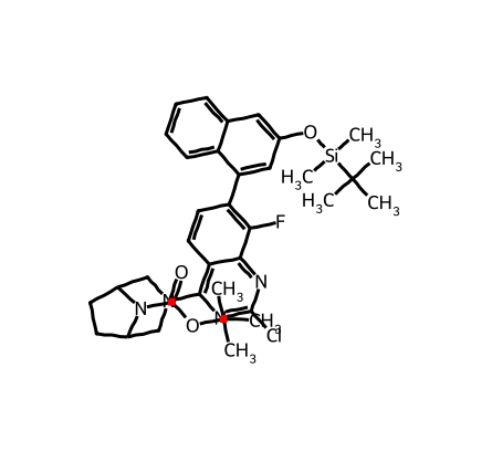 CC(C)(C)OC(=O)N1C2CCC1CN(c1nc(Cl)nc3c(F)c(-c4cc(O[Si](C)(C)C(C)(C)C)cc5ccccc45)ccc13)C2